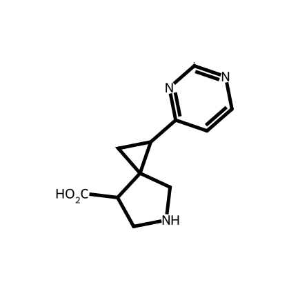 O=C(O)C1CNCC12CC2c1ccn[c]n1